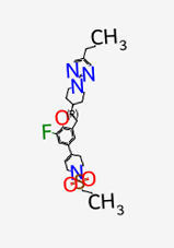 CCCc1cnc(N2CCC([C@H]3Cc4cc(C5=CCN(S(=O)(=O)CCC)CC5)cc(F)c4O3)CC2)nc1